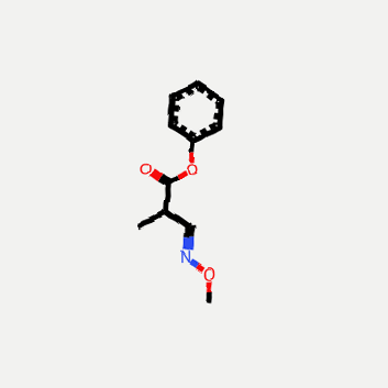 CO/N=C/C(C)C(=O)Oc1ccccc1